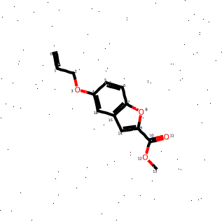 C=CCOc1ccc2oc(C(=O)OC)cc2c1